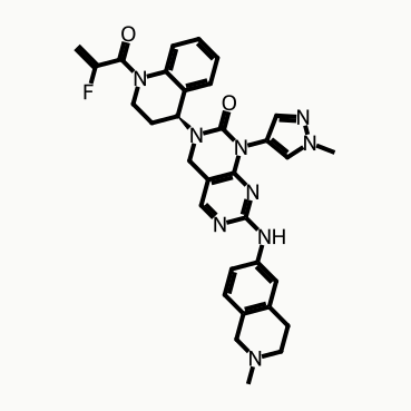 C=C(F)C(=O)N1CC[C@H](N2Cc3cnc(Nc4ccc5c(c4)CCN(C)C5)nc3N(c3cnn(C)c3)C2=O)c2ccccc21